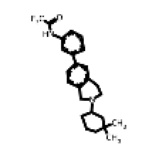 CC1(C)CCCC(N2CCc3cc(-c4cccc(NC(=O)C(F)(F)F)c4)ccc3C2)C1